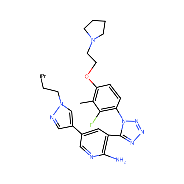 Cc1c(OCCN2CCCC2)ccc(-n2nnnc2-c2cc(-c3cnn(CCC(C)C)c3)cnc2N)c1F